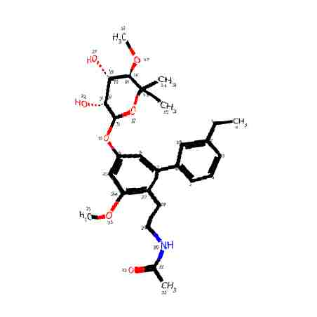 CCc1cccc(-c2cc(OC3OC(C)(C)[C@H](OC)[C@@H](O)[C@H]3O)cc(OC)c2CCNC(C)=O)c1